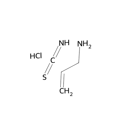 C=CCN.Cl.N=C=S